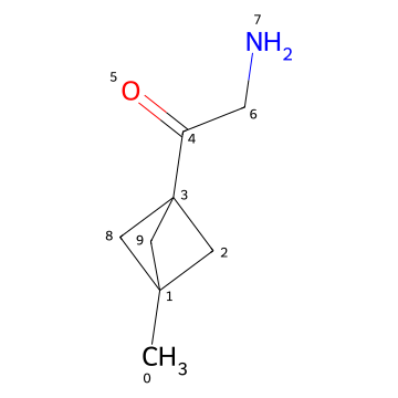 CC12CC(C(=O)CN)(C1)C2